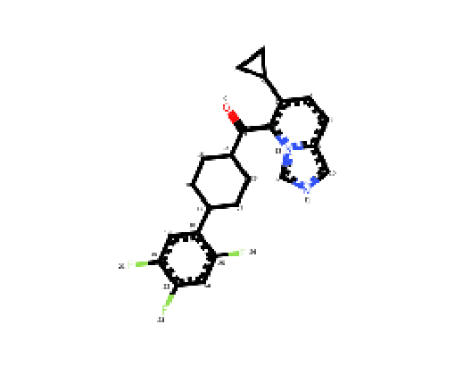 O=C(c1c(C2CC2)ccc2cncn12)C1CCC(c2cc(F)c(F)cc2F)CC1